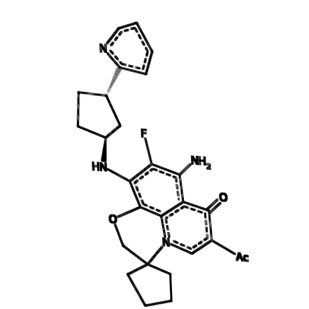 CC(=O)c1cn2c3c(c(N[C@H]4CC[C@H](c5ccccn5)C4)c(F)c(N)c3c1=O)OCC21CCCC1